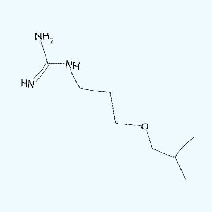 CC(C)COCCCNC(=N)N